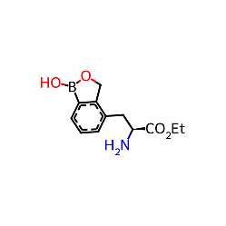 CCOC(=O)[C@@H](N)Cc1cccc2c1COB2O